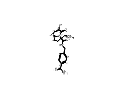 COCC1(C(=O)NCc2ccc(C(=N)N)cc2)CCc2ncc(I)c(=O)n21